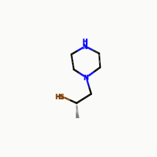 C[C@H](S)CN1CCNCC1